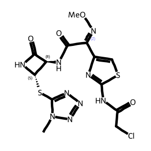 CO/N=C(\C(=O)N[C@@H]1C(=O)N[C@H]1Sc1nnnn1C)c1csc(NC(=O)CCl)n1